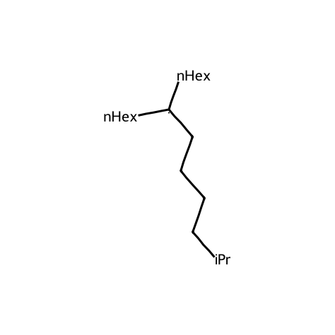 CCCCCC[C](CCCCCC)CCCCC(C)C